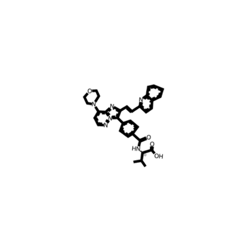 CC(C)[C@H](NC(=O)c1ccc(-c2c(C=Cc3ccc4ccccc4n3)nc3c(N4CCOCC4)ccnn23)cc1)C(=O)O